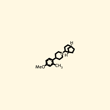 COc1ccc(C2CCN(C3CC[C@H]4CC[C@H]3C4)CC2)c(C)c1